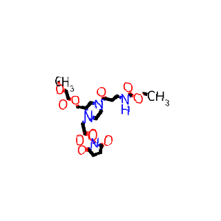 CCOC(=O)NCCC(=O)N1CCN(CC(=O)ON2C(=O)CCC2=O)C(COC(=O)COC)C1